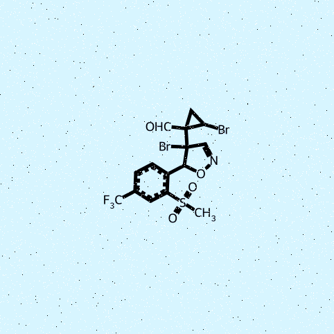 CS(=O)(=O)c1cc(C(F)(F)F)ccc1C1ON=CC1(Br)C1(C=O)CC1Br